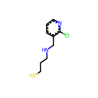 SCCCNCc1cccnc1Cl